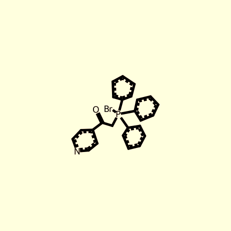 O=C(CP(Br)(c1ccccc1)(c1ccccc1)c1ccccc1)c1ccncc1